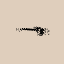 C=CCN(C)C.C=CCN(C)C.CC=C(CCCCCCCCCCCCCCC)C(=O)O.Cl